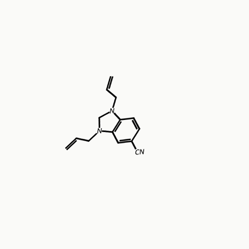 C=CCN1CN(CC=C)c2cc(C#N)ccc21